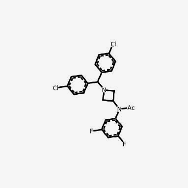 CC(=O)N(c1cc(F)cc(F)c1)C1CN(C(c2ccc(Cl)cc2)c2ccc(Cl)cc2)C1